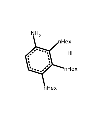 CCCCCCc1ccc(N)c(CCCCCC)c1CCCCCC.I